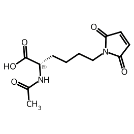 CC(=O)N[C@@H](CCCCN1C(=O)C=CC1=O)C(=O)O